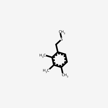 CSCc1ccc(C)c(C)c1C